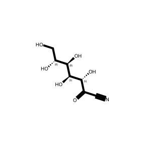 N#CC(=O)[C@@H](O)[C@@H](O)[C@H](O)[C@H](O)CO